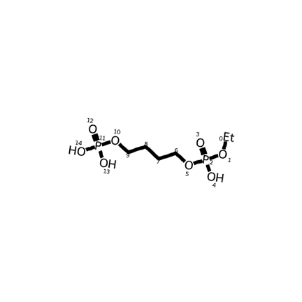 CCOP(=O)(O)OCCCCOP(=O)(O)O